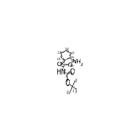 CC(C)(C)OC(=O)NS(=O)(=O)c1cc[c]cc1N